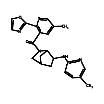 Cc1ccc(NC2CC3CC2N(C(=O)c2cc(C)cnc2-c2ncco2)C3)nc1